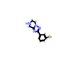 Brc1cccc(-c2nc3n(n2)CCNC3)c1